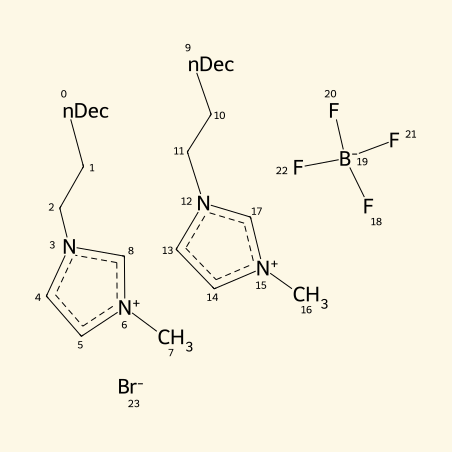 CCCCCCCCCCCCn1cc[n+](C)c1.CCCCCCCCCCCCn1cc[n+](C)c1.F[B-](F)(F)F.[Br-]